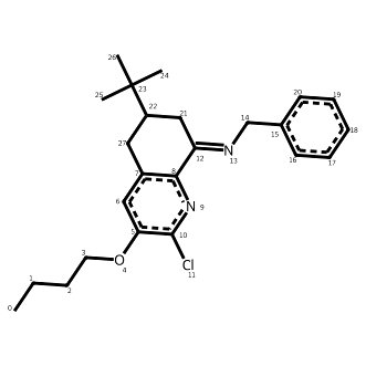 CCCCOc1cc2c(nc1Cl)/C(=N/Cc1ccccc1)CC(C(C)(C)C)C2